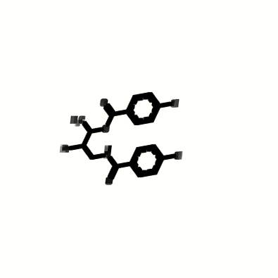 CC(C)C(CNC(=O)c1ccc(Cl)cc1)C(C)OC(=O)c1ccc(Cl)cc1